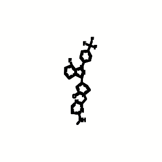 CNc1ccnc(Cn2ccc(-c3nn(-c4ccc(C(F)(F)F)cc4)c4c(F)cccc34)cc2=O)n1